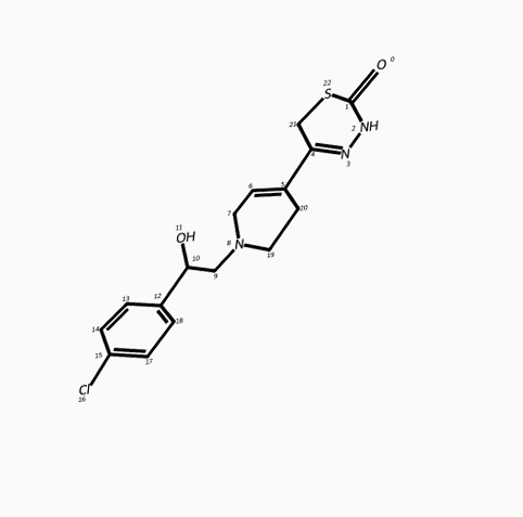 O=C1NN=C(C2=CCN(CC(O)c3ccc(Cl)cc3)CC2)CS1